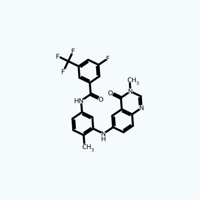 Cc1ccc(NC(=O)c2cc(F)cc(C(F)(F)F)c2)cc1Nc1ccc2ncn(C)c(=O)c2c1